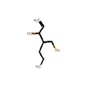 C=CC(S)C(CS)CCC